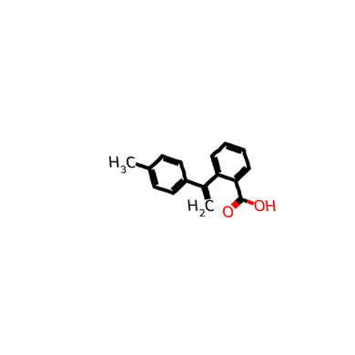 C=C(c1ccc(C)cc1)c1ccccc1C(=O)O